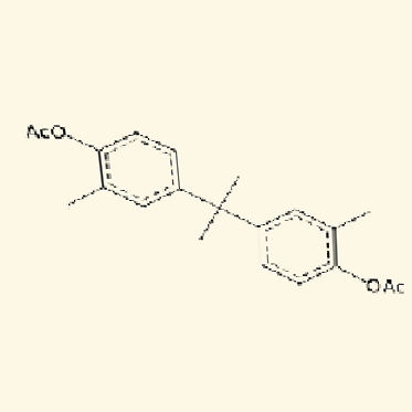 CC(=O)Oc1ccc(C(C)(C)c2ccc(OC(C)=O)c(C)c2)cc1C